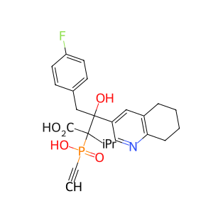 C#CP(=O)(O)C(C(=O)O)(C(C)C)C(O)(Cc1ccc(F)cc1)c1cnc2c(c1)CCCC2